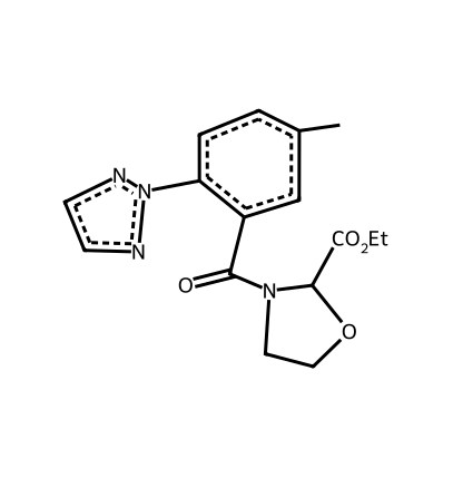 CCOC(=O)C1OCCN1C(=O)c1cc(C)ccc1-n1nccn1